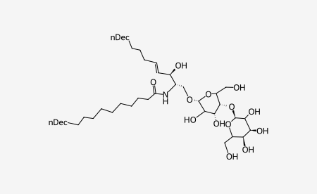 CCCCCCCCCCCCC/C=C/[C@@H](O)[C@H](CO[C@@H]1OC(CO)[C@H](O[C@@H]2OC(CO)[C@H](O)[C@H](O)C2O)[C@H](O)C1O)NC(=O)CCCCCCCCCCCCCCCCCCC